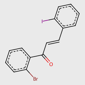 O=C(/C=C/c1ccccc1I)c1ccccc1Br